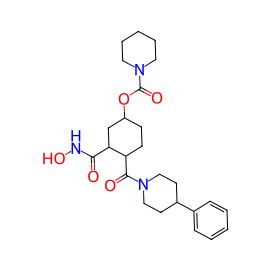 O=C(NO)C1CC(OC(=O)N2CCCCC2)CCC1C(=O)N1CCC(c2ccccc2)CC1